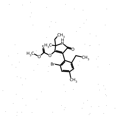 CCc1cc(C)cc(Br)c1C1=C(OC(=S)OC)C(C)(CC)NC1=O